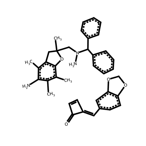 Cc1c(C)c2c(c(C)c1N)CC(C)(CN(N)C(c1ccccc1)c1ccccc1)O2.O=C1C=CC1=Cc1ccc2c(c1)OCO2